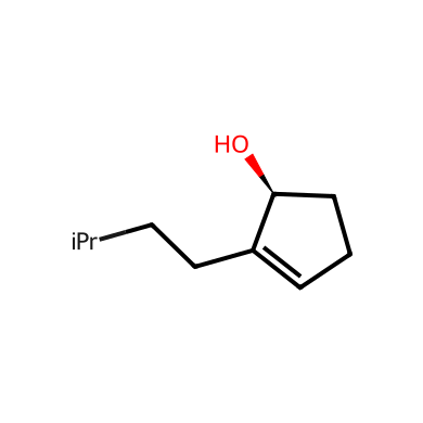 CC(C)CCC1=CCC[C@@H]1O